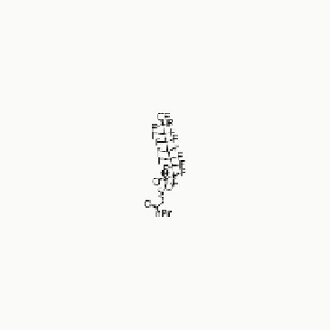 CCCC(=O)CSOS(=O)(=O)C(F)(F)C(F)(F)C(F)(F)C(F)(F)C(F)(F)C(F)(F)C(F)(F)C(F)(F)F